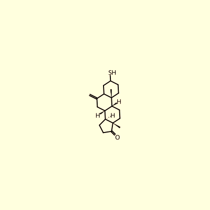 C=C1C[C@@H]2[C@@H](CC[C@]3(C)C(=O)CC[C@@H]23)[C@@]2(C)CCC(S)CC12